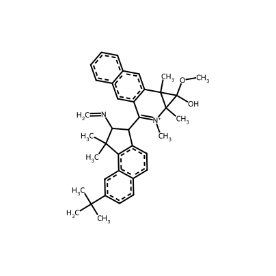 C=NC1C(C2=[N+](C)C3(C)C(O)(OC)C3(C)c3cc4ccccc4cc32)c2ccc3ccc(C(C)(C)C)cc3c2C1(C)C